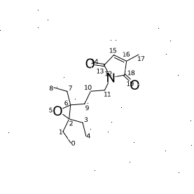 CCC1(CC)OC1(CC)CCCN1C(=O)C=C(C)C1=O